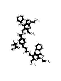 CCc1nc2c(cnn2CC)c(NC2CCOCC2)c1CNC(=O)CCc1ccc(C(=O)NCc2c(CC)nc3c(cnn3CC)c2NC2CCOCC2)cc1.O=C(O)C(F)(F)F